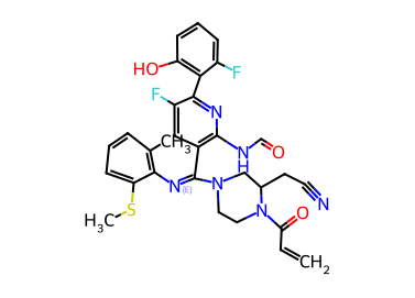 C=CC(=O)N1CCN(/C(=N/c2c(C)cccc2SC)c2cc(F)c(-c3c(O)cccc3F)nc2NC=O)CC1CC#N